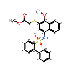 COC(=O)CSc1cc(NS(=O)(=O)c2ccccc2-c2ccccc2)c2ccccc2c1OC